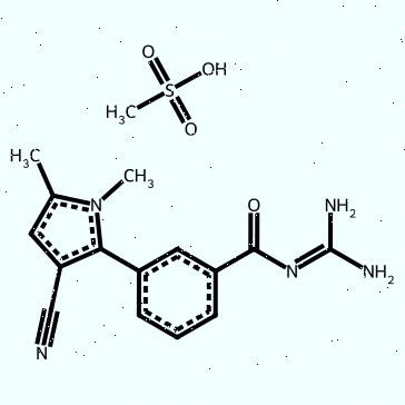 CS(=O)(=O)O.Cc1cc(C#N)c(-c2cccc(C(=O)N=C(N)N)c2)n1C